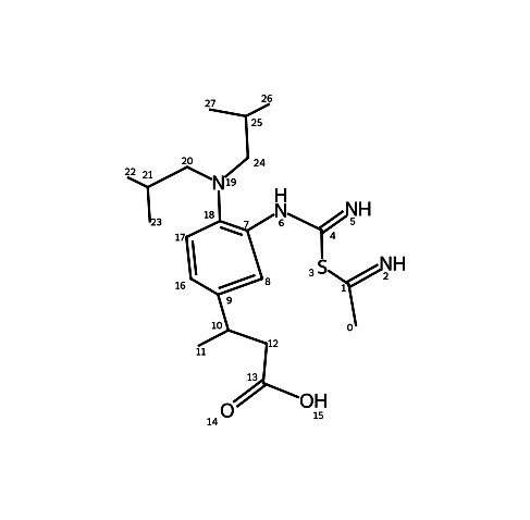 CC(=N)SC(=N)Nc1cc(C(C)CC(=O)O)ccc1N(CC(C)C)CC(C)C